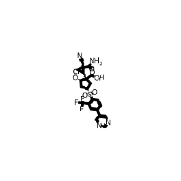 CO[C@H]1C[C@@H](S(=O)(=O)c2ccc(-c3cncnc3)cc2C(F)(F)F)C[C@]1(C(=O)O)C1CC1(C#N)C(N)=O